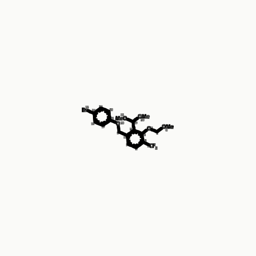 COCOc1c(C(F)(F)F)ccc(COc2ccc(Br)cc2)c1C(OC)OC